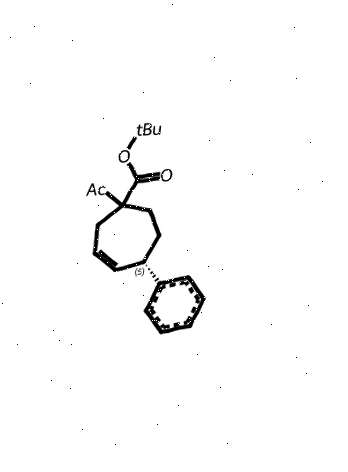 CC(=O)C1(C(=O)OC(C)(C)C)CC=C[C@@H](c2ccccc2)CC1